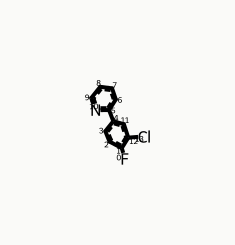 Fc1ccc(-c2ccc[c]n2)cc1Cl